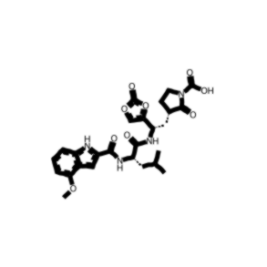 COc1cccc2[nH]c(C(=O)N[C@@H](CC(C)C)C(=O)N[C@@H](C[C@@H]3CCN(C(=O)O)C3=O)c3coc(=O)o3)cc12